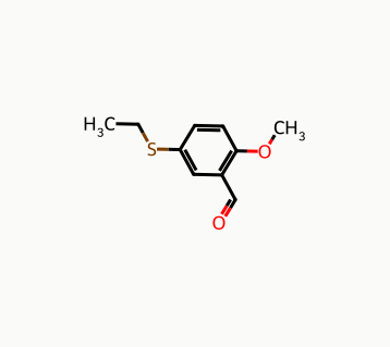 CCSc1ccc(OC)c(C=O)c1